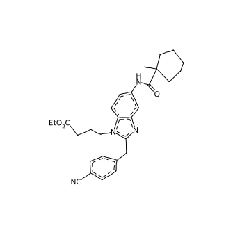 CCOC(=O)CCCn1c(Cc2ccc(C#N)cc2)nc2cc(NC(=O)C3(C)CCCCC3)ccc21